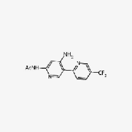 CC(=O)Nc1cc(N)c(-c2ccc(C(F)(F)F)cn2)cn1